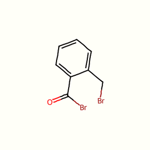 O=C(Br)c1ccccc1CBr